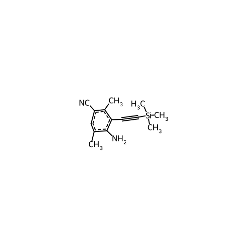 Cc1cc(C#N)c(C)c(C#C[Si](C)(C)C)c1N